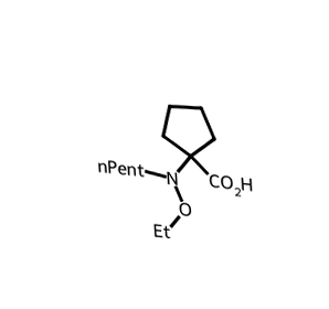 CCCCCN(OCC)C1(C(=O)O)CCCC1